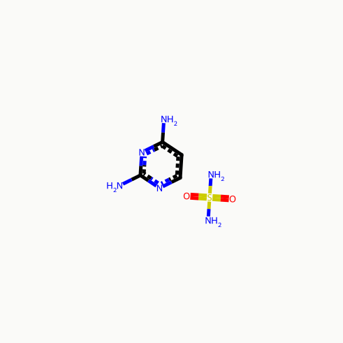 NS(N)(=O)=O.Nc1ccnc(N)n1